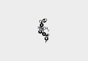 C=C(/N=c1\[nH]cccc1-c1ccc(C(=O)N2CCC(F)CC2)cc1)Nc1ccc(C(=O)N2CCOCC2)cc1